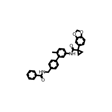 Cc1ccc(NC(=O)C2(c3ccc4c(c3)OCO4)CC2)cc1-c1ccc(CNC(=O)c2ccccc2)cc1